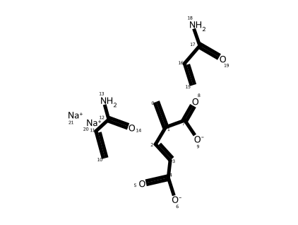 C=C(C=CC(=O)[O-])C(=O)[O-].C=CC(N)=O.C=CC(N)=O.[Na+].[Na+]